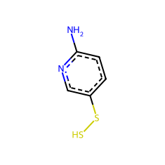 Nc1ccc(SS)cn1